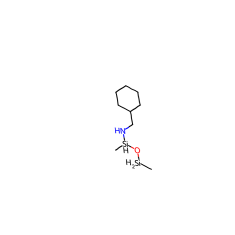 C[SiH2]O[SiH](C)NCC1CCCCC1